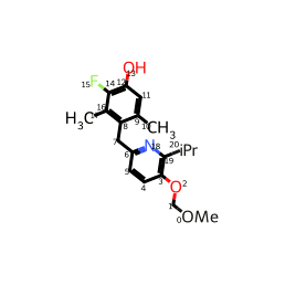 COCOc1ccc(Cc2c(C)cc(O)c(F)c2C)nc1C(C)C